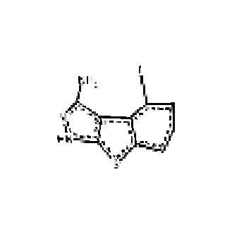 Nc1n[nH]c2sc3cccc(I)c3c12